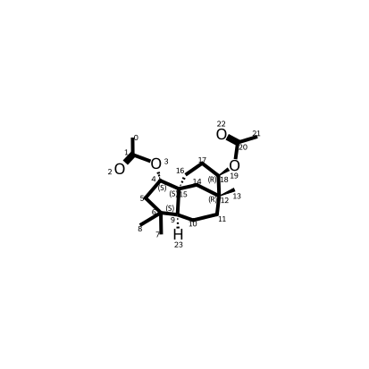 CC(=O)O[C@H]1CC(C)(C)[C@@H]2CC[C@]3(C)C[C@]12CC[C@H]3OC(C)=O